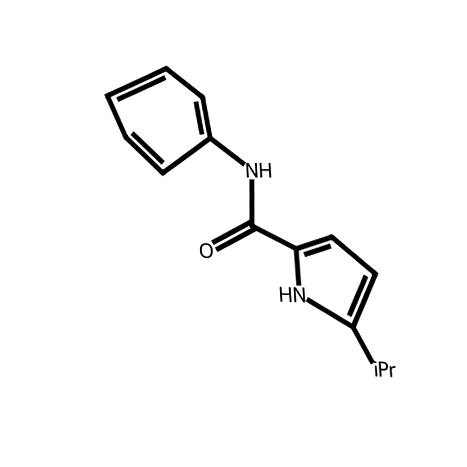 CC(C)c1ccc(C(=O)Nc2ccccc2)[nH]1